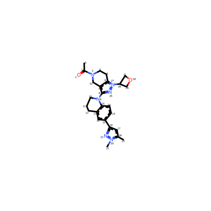 CC(=O)N1CCc2c(c(N3CCCc4cc(-c5cc(C)n(C)n5)ccc43)nn2C2COC2)C1